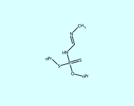 CCCOP(=S)(NC=NC)SCCC